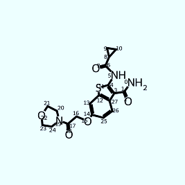 NC(=O)c1c(NC(=O)C2CC2)sc2cc(OCC(=O)N3CCOCC3)ccc12